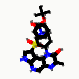 Cc1nc2cnc3[nH]cc(S(=O)(=O)c4ccccc4)c3c2n(C2CCN(C(=O)OC(C)(C)C)CC2)c1=O